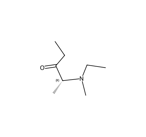 CCC(=O)[C@@H](C)N(C)CC